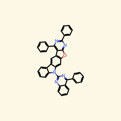 c1ccc(-c2nc(-c3ccccc3)c3c(n2)oc2cc4c(cc23)c2ccccc2n4-c2nc(-c3ccccc3)c3ccccc3n2)cc1